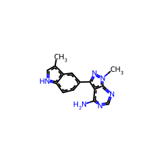 Cc1c[nH]c2ccc(-c3nn(C)c4ncnc(N)c34)cc12